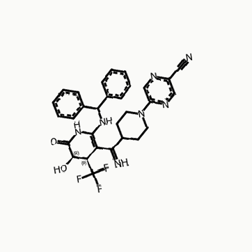 N#Cc1cnc(N2CCC(C(=N)C3=C(NC(c4ccccc4)c4ccccc4)NC(=O)[C@H](O)[C@@H]3C(F)(F)F)CC2)cn1